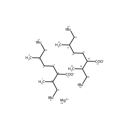 CC(CCC(C(=O)[O-])C(C)CC(C)(C)C)CC(C)(C)C.CC(CCC(C(=O)[O-])C(C)CC(C)(C)C)CC(C)(C)C.[Mg+2]